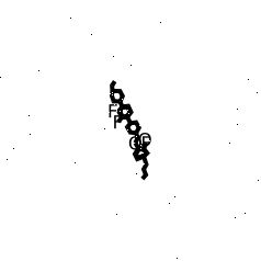 CCCCc1ccc(OC(=O)C2CCC(c3ccc(C4CCC(CC)CC4)c(F)c3F)CC2)c(F)c1